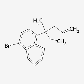 C=CCC(C)(CC)c1ccc(Br)c2ccccc12